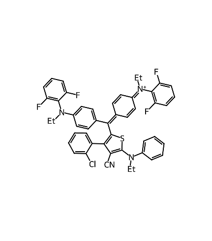 CCN(c1ccccc1)c1sc(C(=C2C=CC(=[N+](CC)c3c(F)cccc3F)C=C2)c2ccc(N(CC)c3c(F)cccc3F)cc2)c(-c2ccccc2Cl)c1C#N